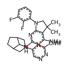 CNc1nc(NC2C3CCC2CN(c2cnnc(OC)c2)C3)nc2c1C(C)(C)CN2c1cccc(F)c1F